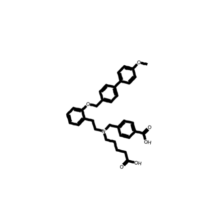 COc1ccc(-c2ccc(COc3ccccc3CCN(CCCCC(=O)O)Cc3ccc(C(=O)O)cc3)cc2)cc1